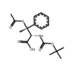 CC(=O)S[C@](C)(c1ccccc1)[C@H](NC(=O)OC(C)(C)C)C(=O)O